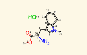 COC(=O)[C@H](N)Cc1cn(C)c2ccccc12.Cl